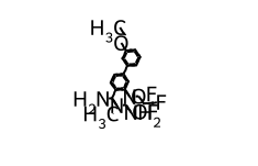 CCOc1cccc(-c2ccc3c(c2)N(OC(=O)C(F)(F)F)C(N)N(C)C3N)c1